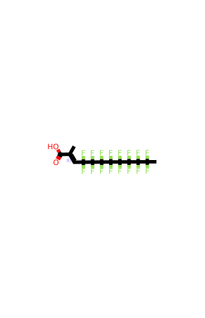 C/C(=C\C(F)(F)C(F)(F)C(F)(F)C(F)(F)C(F)(F)C(F)(F)C(F)(F)C(C)(F)F)C(=O)O